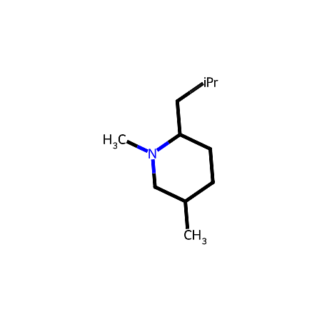 CC(C)CC1CCC(C)CN1C